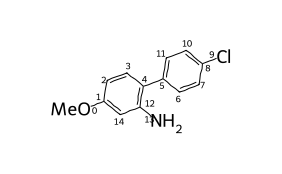 COc1ccc(-c2ccc(Cl)cc2)c(N)c1